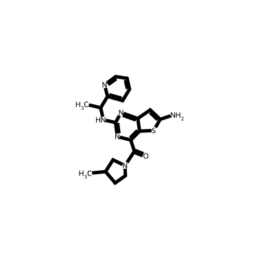 CC1CCN(C(=O)c2nc(NC(C)c3ccccn3)nc3cc(N)sc23)C1